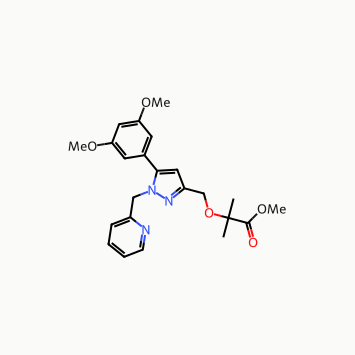 COC(=O)C(C)(C)OCc1cc(-c2cc(OC)cc(OC)c2)n(Cc2ccccn2)n1